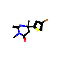 C=C1N[C@](C)(c2cc(Br)cs2)CC(=O)N1C